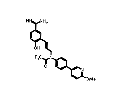 COc1ccc(-c2ccc(N(C/C=C/c3cc(C(=N)N)ccc3O)C(=O)C(F)(F)F)cc2)cn1